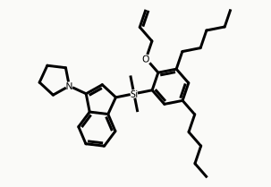 C=CCOc1c(CCCCC)cc(CCCCC)cc1[Si](C)(C)C1C=C(N2CCCC2)c2ccccc21